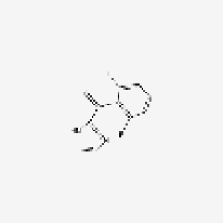 C=C(c1ncc[nH]1)c1c(F)cccc1F